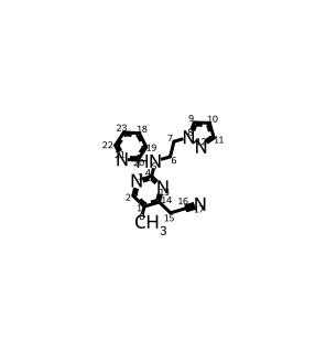 Cc1cnc(NCCn2cccn2)nc1CC#N.c1ccncc1